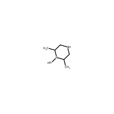 CCCN1C(C)CNCC1C